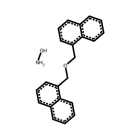 NO.c1ccc2c(COCc3cccc4ccccc34)cccc2c1